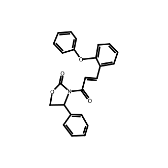 O=C(C=Cc1ccccc1Oc1ccccc1)N1C(=O)OCC1c1ccccc1